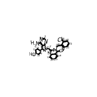 Nc1ncnc2c1c(-c1ccc(O)cc1)nn2Cc1nc2ccc[c]c2c(=O)n1Cc1ccccc1Cl